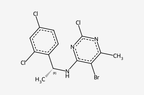 Cc1nc(Cl)nc(N[C@H](C)c2ccc(Cl)cc2Cl)c1Br